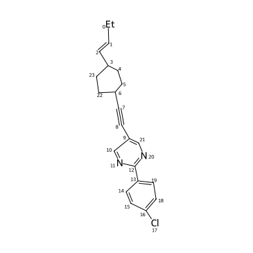 CCC=CC1CCC(C#Cc2cnc(-c3ccc(Cl)cc3)nc2)CC1